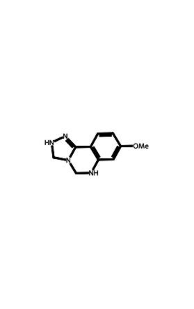 COc1ccc2c(c1)NCN1CNN=C21